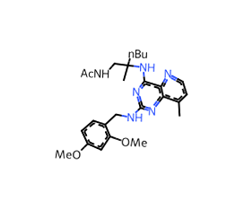 CCCCC(C)(CNC(C)=O)Nc1nc(NCc2ccc(OC)cc2OC)nc2c(C)ccnc12